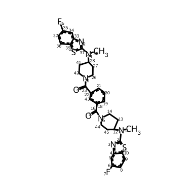 CN(c1nc2cc(F)ccc2s1)C1CCN(C(=O)c2cccc(C(=O)N3CCC(N(C)c4nc5cc(F)ccc5s4)CC3)c2)CC1